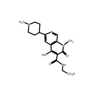 CN1CCC(c2cc3c(O)c(C(=O)NCC(=O)O)c(=O)n(C)c3cn2)CC1